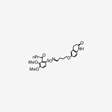 CCCC(=O)c1c(SON=CCCCOc2ccc3c(c2)CCC(=O)N3)ccc(OC)c1OC